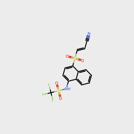 N#CC=CS(=O)(=O)c1ccc(NS(=O)(=O)C(F)(F)F)c2ccccc12